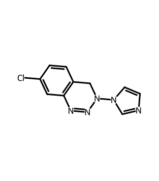 Clc1ccc2c(c1)N=NN(n1ccnc1)C2